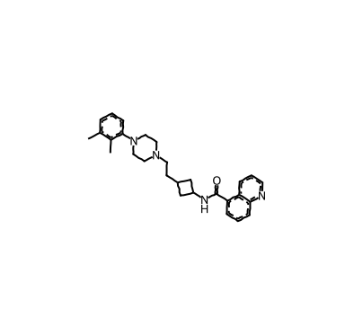 Cc1cccc(N2CCN(CCC3CC(NC(=O)c4cccc5ncccc45)C3)CC2)c1C